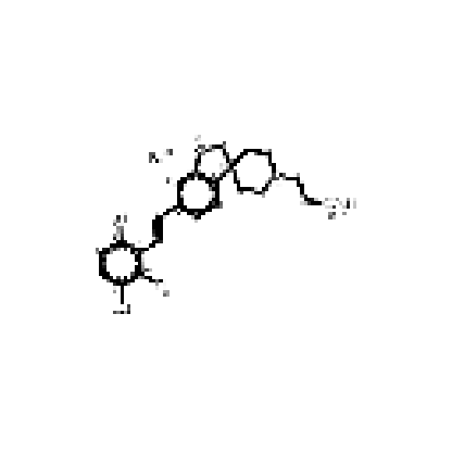 CCc1ccc(Cl)c(/C=C/c2ccc3c(c2)OCC32CCN(CCC(=O)O)CC2)c1Cl.Cl